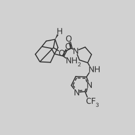 NC(=O)C12CC3CC(C1)C(OC(=O)N1CCC(Nc4ccnc(C(F)(F)F)n4)C1)[C@H](C3)C2